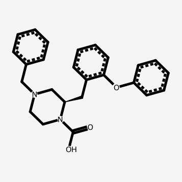 O=C(O)N1CCN(Cc2ccccc2)C[C@H]1Cc1ccccc1Oc1ccccc1